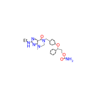 CCNc1ncc2c(n1)N(C)CCN(Cc1ccc(OC(CCOC(N)=O)c3ccccc3)cc1)C2=O